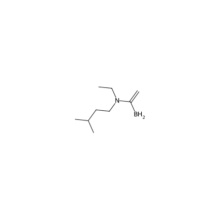 BC(=C)N(CC)CCC(C)C